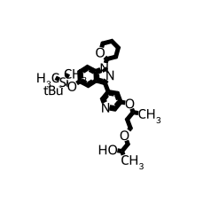 CC(O)COCCC(C)Oc1cncc(-c2nn(C3CCCCO3)c3ccc(O[Si](C)(C)C(C)(C)C)cc23)c1